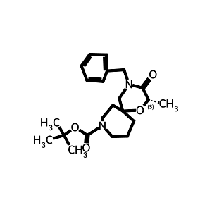 C[C@@H]1OC2(CCCN(C(=O)OC(C)(C)C)CC2)CN(Cc2ccccc2)C1=O